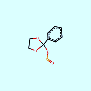 O=POC1(c2ccccc2)OCCO1